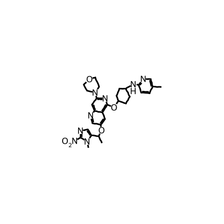 Cc1ccc(NC2CCC(Oc3nc(N4CCOCC4)cc4ncc(OC(C)c5cnc([N+](=O)[O-])n5C)cc34)CC2)nc1